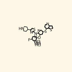 Cl.Cl.Cl.Fc1ccc(Oc2cc(Sc3ccnc4ccsc34)cnc2Nc2nc(C3CCNCC3)cs2)cc1